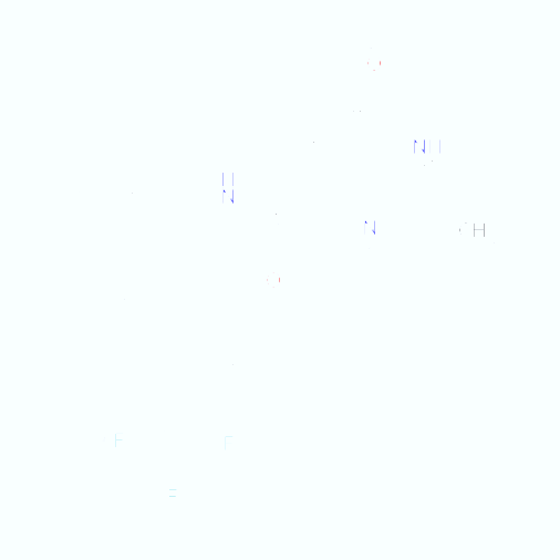 Cc1nc(C(=O)NC(c2ccc(C(F)(F)F)cc2)C2CC2)cc(=O)[nH]1